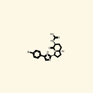 O=C(O)N[C@H]1CC[C@H]2CC[C@@H](c3ncc(-c4ccc(Br)cc4)[nH]3)N2C1=O